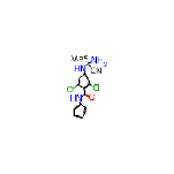 CSC(N)(C#N)Nc1cc(Cl)c(C(=O)Nc2ccccc2)c(Cl)c1